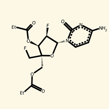 CCC(=O)OC[C@@]1(CF)O[C@@H](n2ccc(N)nc2=O)[C@H](F)[C@@H]1OC(=O)CC